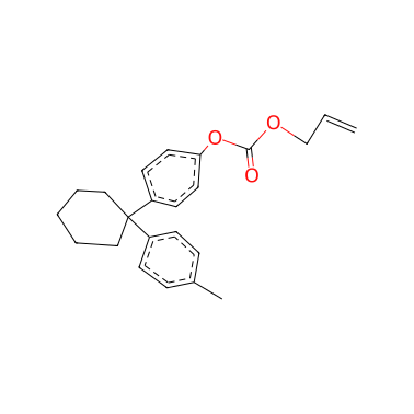 C=CCOC(=O)Oc1ccc(C2(c3ccc(C)cc3)CCCCC2)cc1